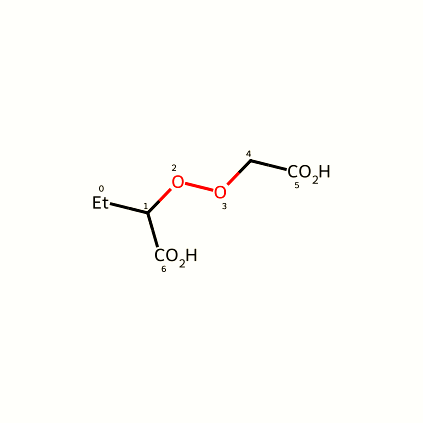 CCC(OOCC(=O)O)C(=O)O